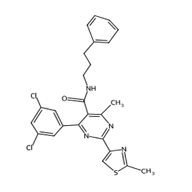 Cc1nc(-c2nc(C)c(C(=O)NCCCc3ccccc3)c(-c3cc(Cl)cc(Cl)c3)n2)cs1